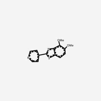 COc1ccc2sc(-c3ccncc3)nc2c1OC